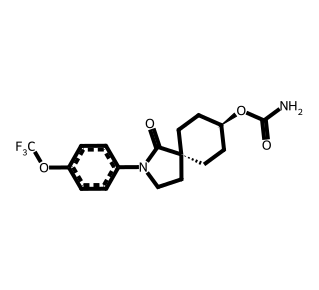 NC(=O)O[C@H]1CC[C@@]2(CCN(c3ccc(OC(F)(F)F)cc3)C2=O)CC1